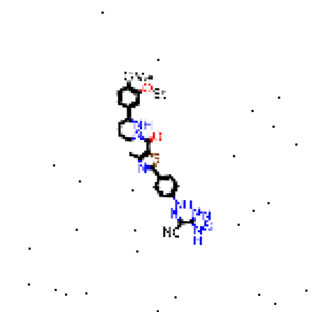 CCOc1cc(C2CCCN(C(=O)c3sc(-c4ccc(N/N=C(/C#N)c5nnn[nH]5)cc4)nc3C)N2)ccc1OC